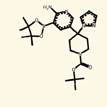 CC(C)(C)OC(=O)N1CCC(c2cnc(N)c(B3OC(C)(C)C(C)(C)O3)c2)(n2cccn2)CC1